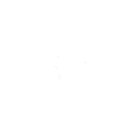 COc1cc(NC(=C2C(=O)OC(C)(C)OC2=O)N2CCN(C(=O)OC(C)(C)C)CC2)ccc1-c1cnco1